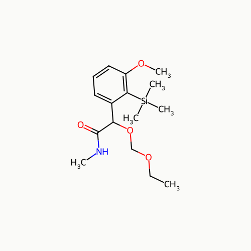 CCOCOC(C(=O)NC)c1cccc(OC)c1[Si](C)(C)C